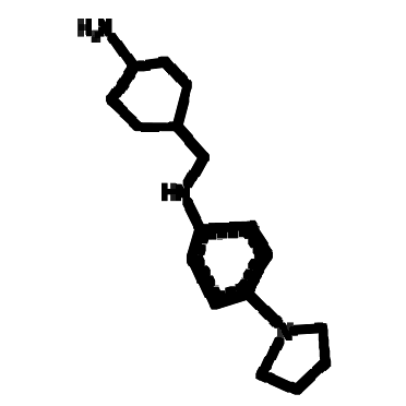 NC1CCC(CNc2ccc(N3CCCC3)cc2)CC1